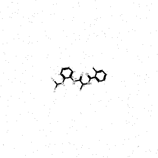 Cc1ccccc1C(=O)NC(C)C(=O)Nc1ccccc1OC(F)F